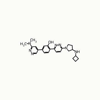 CN(C)c1cc(-c2ccc(-c3ccc(N4CCC(NC5CCC5)C4)nn3)c(O)c2)cnn1